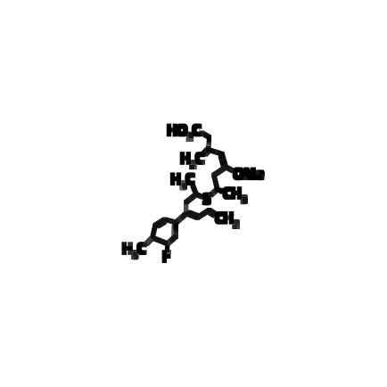 C=C/C=C(\CC(C)S[C@H](C)C/C(=C\C(=C)CC(=O)O)OC)C1=CC(F)C(C)C=C1